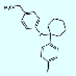 C=Cc1ccc(OC2(c3ccc(F)cc3)CCCCC2)cc1